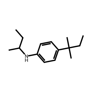 CCC(C)Nc1ccc(C(C)(C)CC)cc1